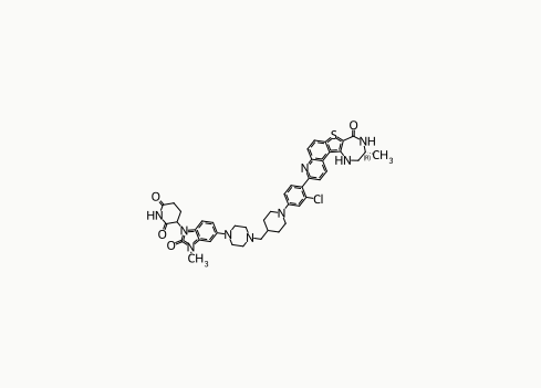 C[C@@H]1CNc2c(sc3ccc4nc(-c5ccc(N6CCC(CN7CCN(c8ccc9c(c8)n(C)c(=O)n9C8CCC(=O)NC8=O)CC7)CC6)cc5Cl)ccc4c23)C(=O)N1